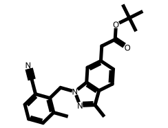 Cc1cccc(C#N)c1Cn1nc(C)c2ccc(CC(=O)OC(C)(C)C)cc21